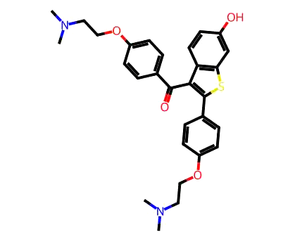 CN(C)CCOc1ccc(C(=O)c2c(-c3ccc(OCCN(C)C)cc3)sc3cc(O)ccc23)cc1